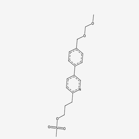 COCOCc1ccc(-c2ccc(CCCOS(C)(=O)=O)nc2)cc1